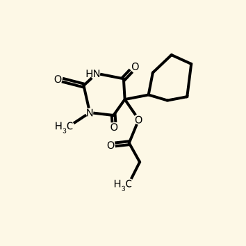 CCC(=O)OC1(C2CCCCC2)C(=O)NC(=O)N(C)C1=O